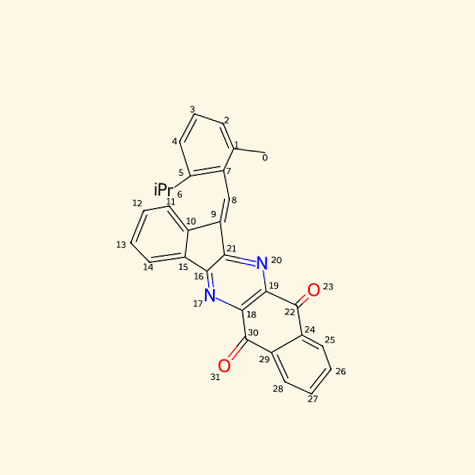 Cc1cccc(C(C)C)c1/C=C1\c2ccccc2-c2nc3c(nc21)C(=O)c1ccccc1C3=O